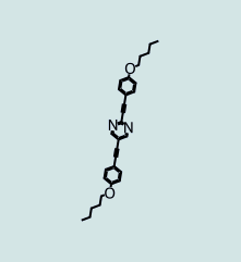 CCCCCOc1ccc(C#Cc2cnc(C#Cc3ccc(OCCCCC)cc3)nc2)cc1